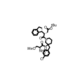 COC[C@H](N)C(=O)NC1(Cc2ccc(Cl)cc2)CCCN(C(=O)[C@@H](CC(=O)OC(C)(C)C)[C@H]2CCc3ccccc32)C1